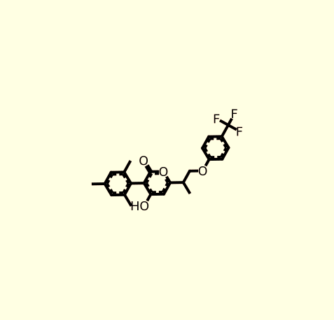 Cc1cc(C)c(-c2c(O)cc(C(C)COc3ccc(C(F)(F)F)cc3)oc2=O)c(C)c1